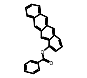 O=C(Oc1cccc2cc3cc4ccccc4cc3cc12)c1ccccc1